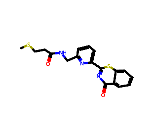 CSCCC(=O)NCc1cccc(-c2nc(=O)c3ccccc3s2)n1